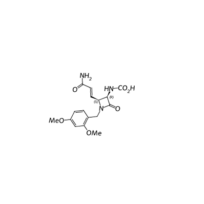 COc1ccc(CN2C(=O)[C@H](NC(=O)O)[C@@H]2C=CC(N)=O)c(OC)c1